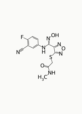 CNC(=O)CSc1nonc1/C(=N\O)Nc1ccc(F)c(C#N)c1